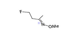 CO/N=C(\C)CCF